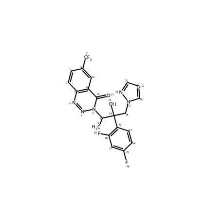 CC(n1nnc2ccc(C(F)(F)F)cc2c1=O)C(O)(Cn1cncn1)c1ccc(F)cc1F